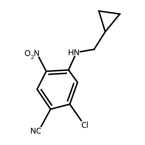 N#Cc1cc([N+](=O)[O-])c(NCC2CC2)cc1Cl